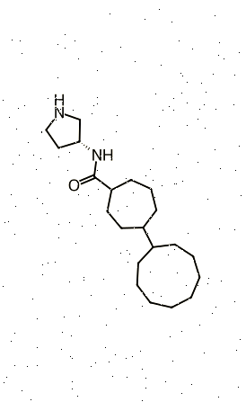 O=C(N[C@@H]1CCNC1)C1CCCC(C2CCCCCCCC2)CC1